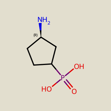 N[C@@H]1CCC(P(=O)(O)O)C1